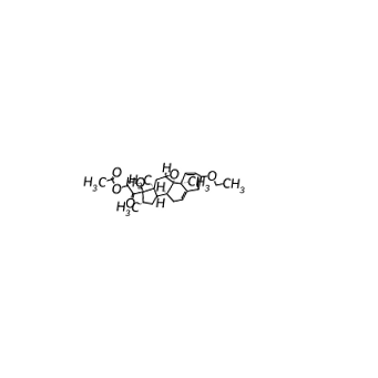 CCOC1=CC2=CC[C@H]3[C@@H]4C[C@H](C)[C@](O)(C(=O)COC(C)=O)[C@@]4(C)C[C@@H]4O[C@@]43[C@@]2(C)C=C1